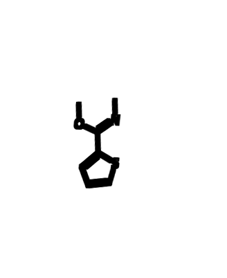 C/N=C(\OC)c1cccs1